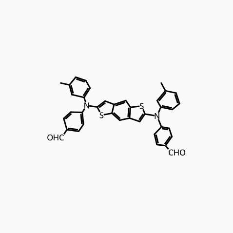 Cc1cccc(N(c2ccc(C=O)cc2)c2cc3cc4sc(N(c5ccc(C=O)cc5)c5cccc(C)c5)cc4cc3s2)c1